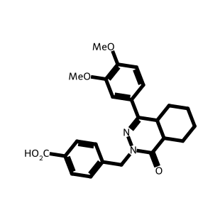 COc1ccc(C2=NN(Cc3ccc(C(=O)O)cc3)C(=O)C3CCCCC23)cc1OC